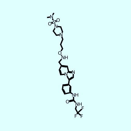 CN(C)S(=O)(=O)N1CCN(CCCONCc2ccn3c(-c4cccc(NC(=O)NCC(F)(F)F)c4)cnc3c2)CC1